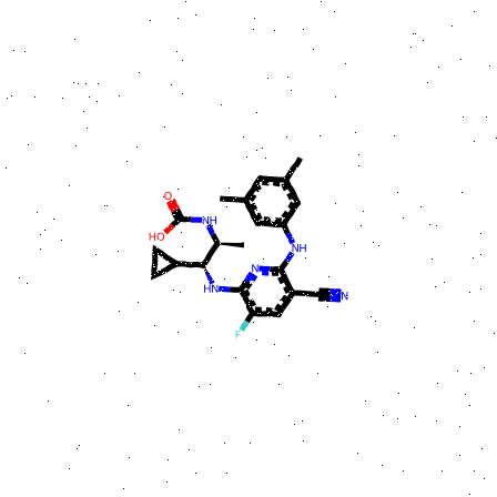 Cc1cc(C)cc(Nc2nc(N[C@@H](C3CC3)[C@H](C)NC(=O)O)c(F)cc2C#N)c1